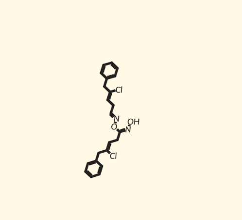 ON=C(CC=C(Cl)Cc1ccccc1)ON=CCC=C(Cl)Cc1ccccc1